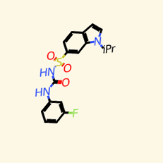 CC(C)n1ccc2ccc(S(=O)(=O)NC(=O)Nc3cccc(F)c3)cc21